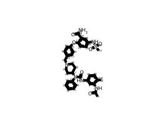 CC(=O)Nc1cc(NC(=O)N(c2ccccc2)C2CCN(Cc3ccc(Oc4ccc(NS(C)(=O)=O)cc4C(N)=O)cc3)CC2)ccc1F